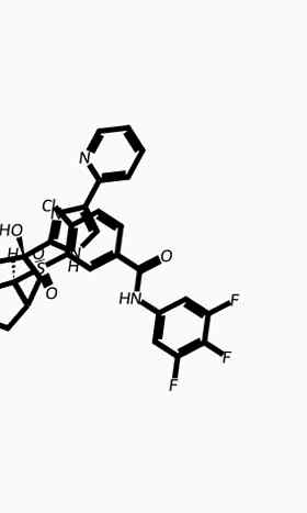 O=C(Nc1cc(F)c(F)c(F)c1)c1ccc(Cl)c(S(=O)(=O)[C@H]2C3CCC2C[C@](O)(c2nc(-c4ccccn4)c[nH]2)C3)c1